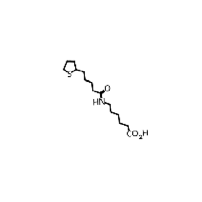 O=C(O)CCCCCNC(=O)CCCCC1CCCS1